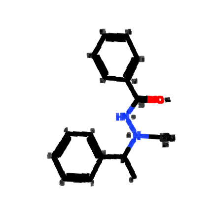 CC(c1ccccc1)N(NC(=O)c1ccccc1)C(C)(C)C